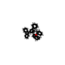 OC1(c2ccccc2-n2c3ccccc3c3cc(-n4c5ccccc5c5ccccc54)ccc32)C2CC3CC(C2)CC1C3